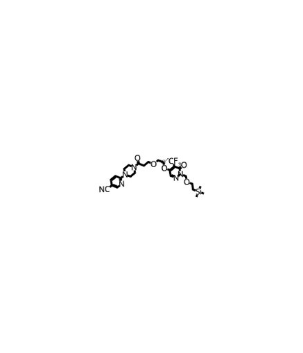 C[C@@H](COCCC(=O)N1CCN(c2ccc(C#N)cn2)CC1)Oc1cnn(COCC[Si](C)(C)C)c(=O)c1C(F)(F)F